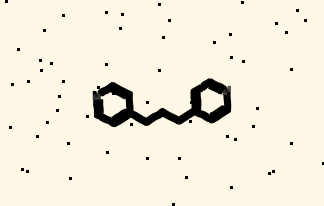 [CH](Cc1ccncc1)Cc1ccncc1